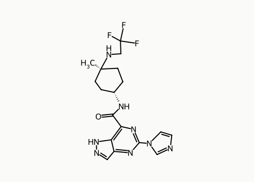 C[C@]1(NCC(F)(F)F)CC[C@H](NC(=O)c2nc(-n3ccnc3)nc3cn[nH]c23)CC1